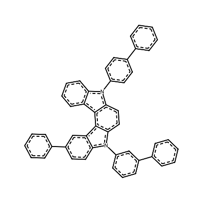 c1ccc(-c2ccc(-n3c4ccccc4c4c5c6cc(-c7ccccc7)ccc6n(-c6cccc(-c7ccccc7)c6)c5ccc43)cc2)cc1